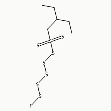 CCC(CC)CS(=S)(=S)SSSSSI